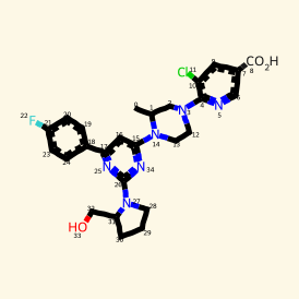 CC1CN(c2ncc(C(=O)O)cc2Cl)CCN1c1cc(-c2ccc(F)cc2)nc(N2CCCC2CO)n1